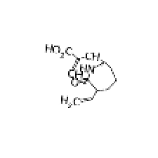 C=C(C)C(=O)O.C=CC1CCCCNC1=O